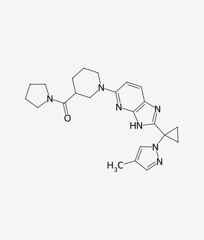 Cc1cnn(C2(c3nc4ccc(N5CCCC(C(=O)N6CCCC6)C5)nc4[nH]3)CC2)c1